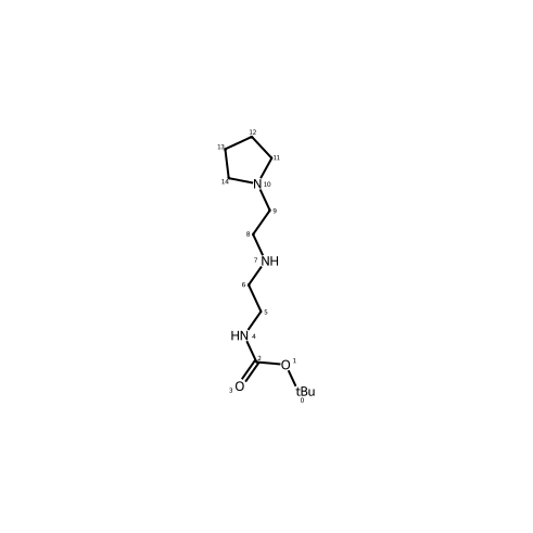 CC(C)(C)OC(=O)NCCNCCN1CCCC1